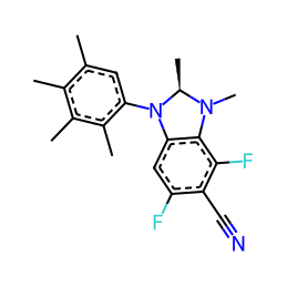 Cc1cc(N2c3cc(F)c(C#N)c(F)c3N(C)[C@@H]2C)c(C)c(C)c1C